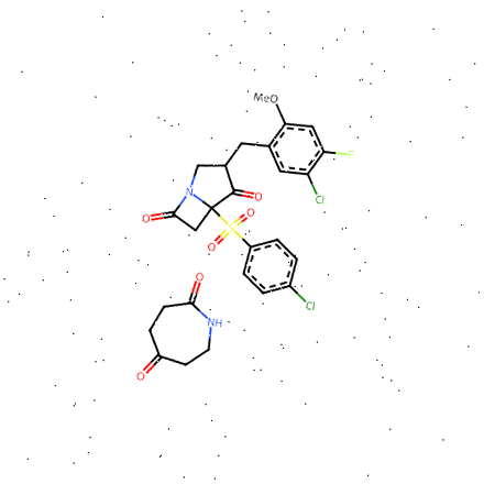 COc1cc(F)c(Cl)cc1CC1CN2C(=O)CC2(S(=O)(=O)c2ccc(Cl)cc2)C1=O.O=C1CCNC(=O)CC1